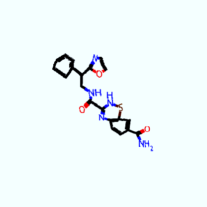 NC(=O)c1ccc2c(c1)SNC(C(=O)NCC(c1ccccc1)c1ncco1)=N2